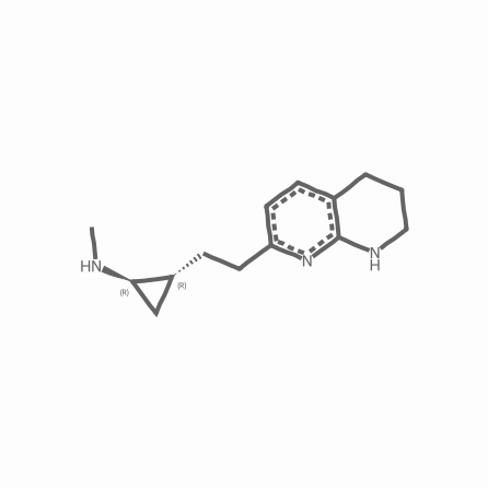 CN[C@@H]1C[C@H]1CCc1ccc2c(n1)NCCC2